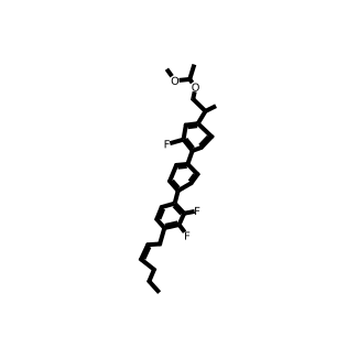 CCC/C=C\Cc1ccc(-c2ccc(-c3ccc(C(C)COC(C)OC)cc3F)cc2)c(F)c1F